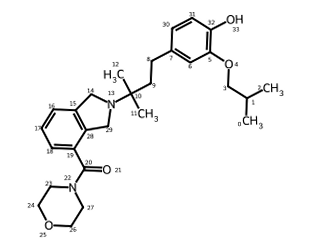 CC(C)COc1cc(CCC(C)(C)N2Cc3cccc(C(=O)N4CCOCC4)c3C2)ccc1O